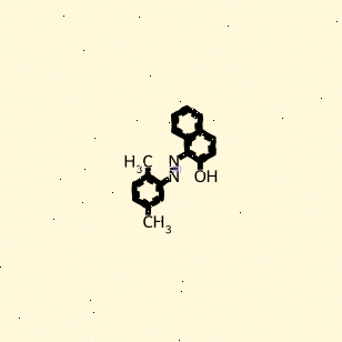 Cc1ccc(C)c(/N=N/c2c(O)ccc3ccccc23)c1